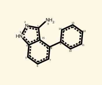 Nc1n[nH]c2cccc(-c3cc[c]cc3)c12